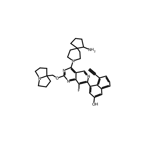 C#Cc1cccc2cc(O)cc(-c3ncc4c(N5CCC6(CCCC6N)CC5)nc(OCC56CCCN5CCC6)nc4c3F)c12